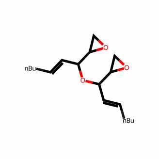 CCCC/C=C/C(OC(/C=C/CCCC)C1CO1)C1CO1